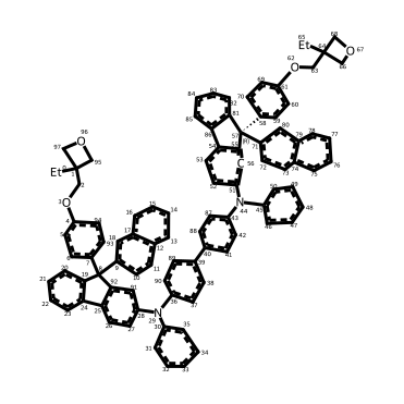 CCC1(COc2ccc(C3(c4ccc5ccccc5c4)c4ccccc4-c4ccc(N(c5ccccc5)c5ccc(-c6ccc(N(c7ccccc7)c7ccc8c(c7)[C@](c7ccc(OCC9(CC)COC9)cc7)(c7ccc9ccccc9c7)c7ccccc7-8)cc6)cc5)cc43)cc2)COC1